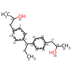 CCC(c1ccc(CC(C)O)cc1)c1ccc(CC(C)O)cc1